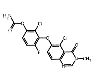 Cn1cnc2ccc(Oc3c(F)ccc(OC(N)=O)c3Cl)c(Cl)c2c1=O